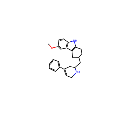 COc1ccc2[nH]c3c(c2c1)CC(CC1CC(c2ccccc2)=CCN1)CC3